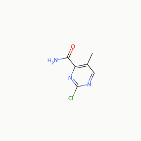 Cc1cnc(Cl)nc1C(N)=O